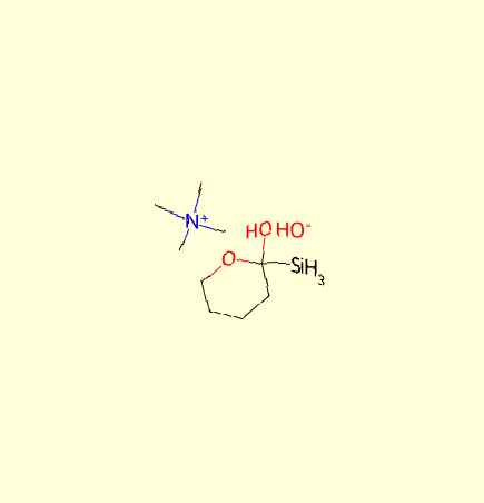 C[N+](C)(C)C.OC1([SiH3])CCCCO1.[OH-]